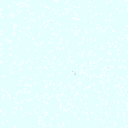 CCC(=O)OC1CC(=O)N1C(=O)C(C)(C)CC